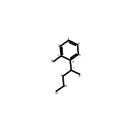 [CH2]c1ccccc1C(C)CCC